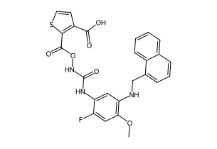 COc1cc(F)c(NC(=O)NOC(=O)c2sccc2C(=O)O)cc1NCc1cccc2ccccc12